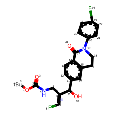 CC(C)(C)OC(=O)NC/C(=C\F)C(O)c1ccc2c(c1)CCN(c1ccc(F)cc1)C2=O